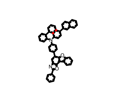 c1ccc(-c2nc3cc(-c4ccc(N(c5ccc(-c6ccc7ccccc7c6)cc5)c5ccccc5-c5ccccc5)cc4)c4oc5ccccc5c4c3o2)cc1